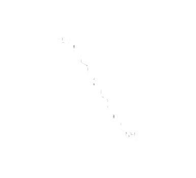 CCCCC=CCC=CCC=CCC=CCC=CCCN